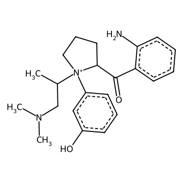 CC(CN(C)C)[N+]1(c2cccc(O)c2)CCCC1C(=O)c1ccccc1N